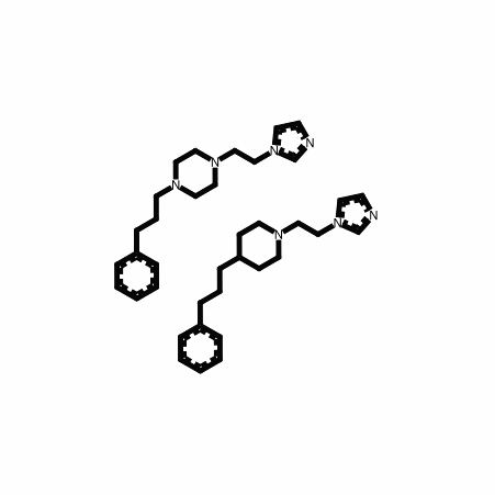 c1ccc(CCCC2CCN(CCn3ccnc3)CC2)cc1.c1ccc(CCCN2CCN(CCn3ccnc3)CC2)cc1